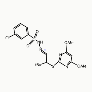 COc1cc(OC)nc(SC(/C=N/NS(=O)(=O)c2cccc(Cl)c2)C(C)(C)C)n1